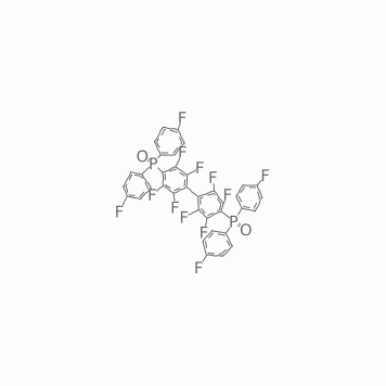 O=P(c1ccc(F)cc1)(c1ccc(F)cc1)c1c(F)c(F)c(-c2c(F)c(F)c(P(=O)(c3ccc(F)cc3)c3ccc(F)cc3)c(F)c2F)c(F)c1F